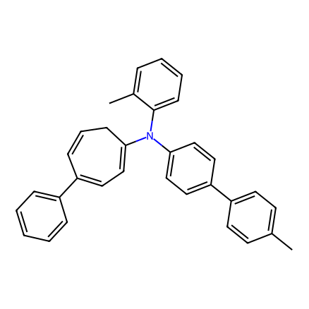 Cc1ccc(-c2ccc(N(C3=CC=C(c4ccccc4)C=CC3)c3ccccc3C)cc2)cc1